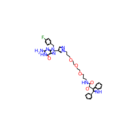 Nc1nc2c(nc(-c3cnn(CCCOCCOCCOCCCNC(=O)C(=O)c4c(-c5ccccc5)[nH]c5ccccc45)c3)n2Cc2ccc(F)cc2)c(=O)[nH]1